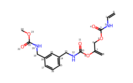 C=CNC(=O)OCC(=C)OC(=O)NCc1cccc(CNC(=O)OC)c1